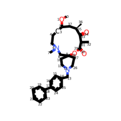 COC1CCCN(C)CC2(CCN(Cc3ccc(-c4ccccc4)cc3)CC2)OC(=O)C(C)C(=O)[C@H](C)C1